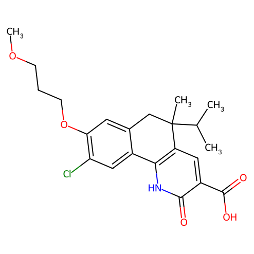 COCCCOc1cc2c(cc1Cl)-c1[nH]c(=O)c(C(=O)O)cc1C(C)(C(C)C)C2